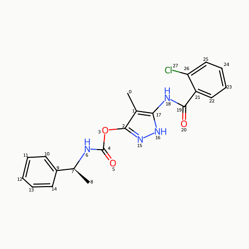 Cc1c(OC(=O)N[C@@H](C)c2ccccc2)n[nH]c1NC(=O)c1ccccc1Cl